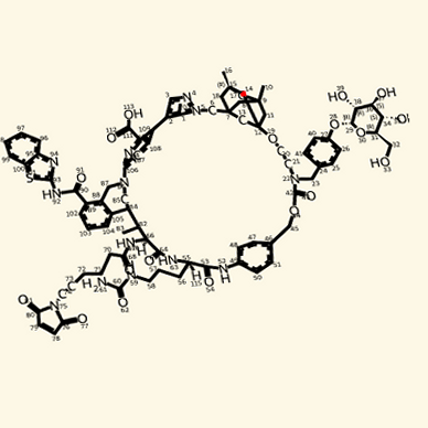 Cc1c2cnn1CC13CC4(C)CC(C1)(C[C@](C)(C4)C3)OCCN(Cc1ccc(O[C@H]3O[C@H](CO)[C@@H](O)[C@H](O)[C@H]3O)cc1)C(=O)OCc1ccc(cc1)NC(=O)[C@H](CCCNC(N)=O)NC(=O)[C@@H](NC(=O)CCCCCN1C(=O)C=CC1=O)C(C)C1CN(Cc3c(C(=O)Nc4nc5ccccc5s4)cccc31)c1ccc-2c(C(=O)O)n1